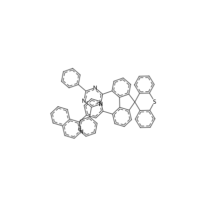 c1ccc(-c2nc(-c3ccccc3)nc(-c3cccc4c3-c3c(-c5cccc(-c6nccc7ccccc67)c5)cccc3C43c4ccccc4Sc4ccccc43)n2)cc1